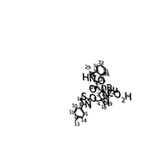 CCCCC(CC1(COc2nc(-c3ccc(C)cc3)cs2)CCC1)(NC(=O)O)C(=O)C(=O)N[C@H](C)c1ccccc1